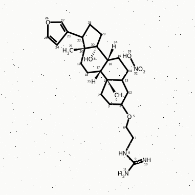 C[C@]12CCC(OCCNC(=N)N)CC1CC[C@@H]1[C@H]2CC[C@]2(C)C(c3ccoc3)CC[C@@]12O.O=[N+]([O-])O